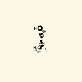 CC(C)(C)c1cnc(CSc2nnc(N[C@@H]3CCCNC3)s2)o1